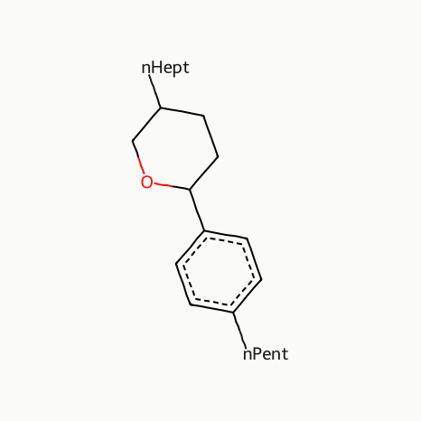 CCCCCCCC1CCC(c2ccc(CCCCC)cc2)OC1